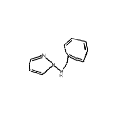 c1ccc(Nn2cccn2)cc1